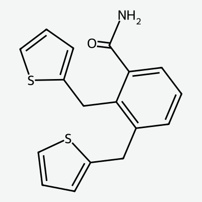 NC(=O)c1cccc(Cc2cccs2)c1Cc1cccs1